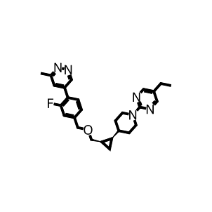 CCc1cnc(N2CCC([C@H]3C[C@H]3COCc3ccc(-c4cnnc(C)c4)c(F)c3)CC2)nc1